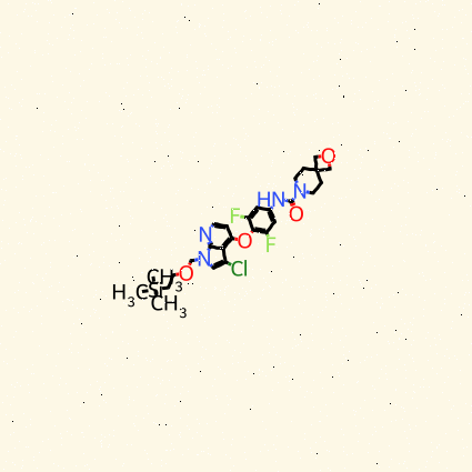 C[Si](C)(C)CCOCn1cc(Cl)c2c(Oc3c(F)cc(NC(=O)N4CCC5(CC4)COC5)cc3F)ccnc21